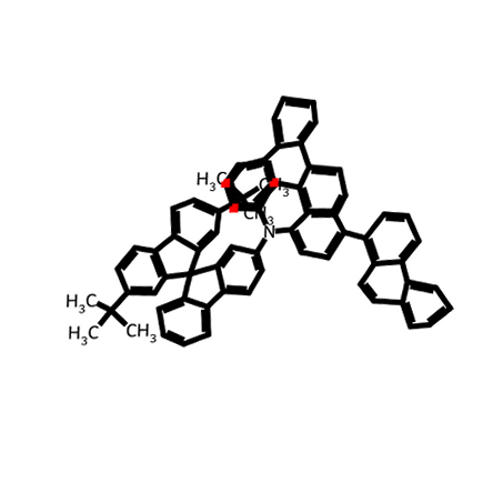 CC(C)(C)c1ccc2c(c1)C1(c3ccccc3-c3ccc(N(c4ccc(-c5cccc6c5ccc5ccccc56)cc4)c4ccccc4-c4ccccc4-c4ccccc4-c4ccccc4)cc31)c1cc(C(C)(C)C)ccc1-2